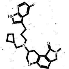 CN1Cc2ccc3c(c2C1=O)CC(N(CCCc1c[nH]c2ccc(F)cc12)CC1CCC1)CO3